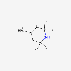 CC1(C)C[CH]([PoH])CC(C)(C)N1